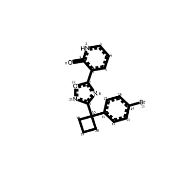 O=c1[nH]cccc1-c1nc(C2(c3ccc(Br)cc3)CCC2)no1